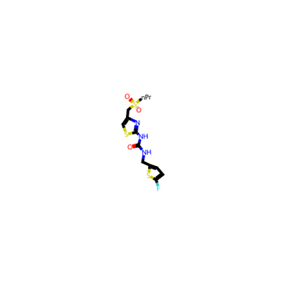 CCCS(=O)(=O)Cc1csc(NC(=O)NCc2ccc(F)s2)n1